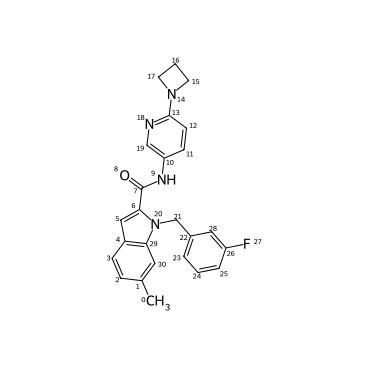 Cc1ccc2cc(C(=O)Nc3ccc(N4CCC4)nc3)n(Cc3cccc(F)c3)c2c1